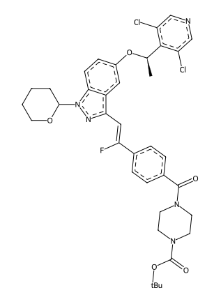 C[C@@H](Oc1ccc2c(c1)c(/C=C(\F)c1ccc(C(=O)N3CCN(C(=O)OC(C)(C)C)CC3)cc1)nn2C1CCCCO1)c1c(Cl)cncc1Cl